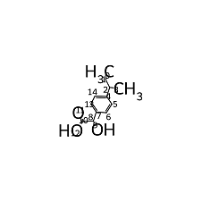 CCC(C)c1ccc(C(O)C(=O)O)cc1